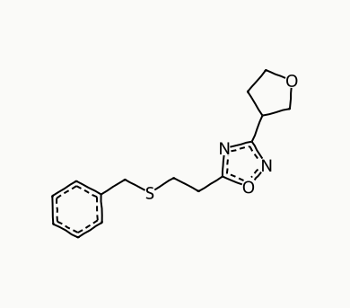 c1ccc(CSCCc2nc(C3CCOC3)no2)cc1